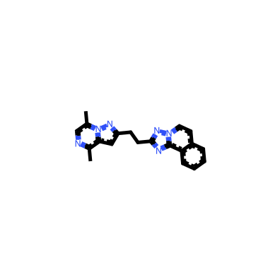 Cc1ncc(C)n2nc(CCc3nc4c5ccccc5ccn4n3)cc12